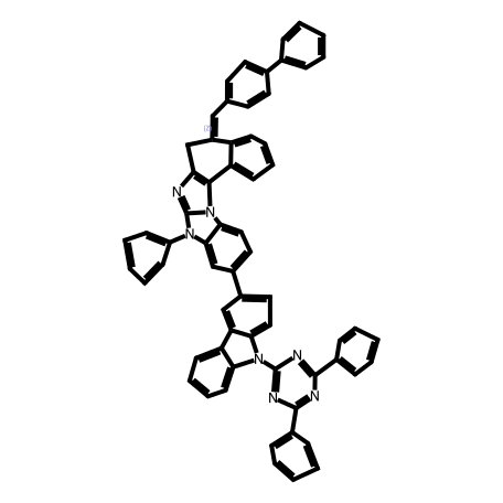 C(=C1\Cc2nc3n(-c4ccccc4)c4cc(-c5ccc6c(c5)c5ccccc5n6-c5nc(-c6ccccc6)nc(-c6ccccc6)n5)ccc4n3c2-c2ccccc21)/c1ccc(-c2ccccc2)cc1